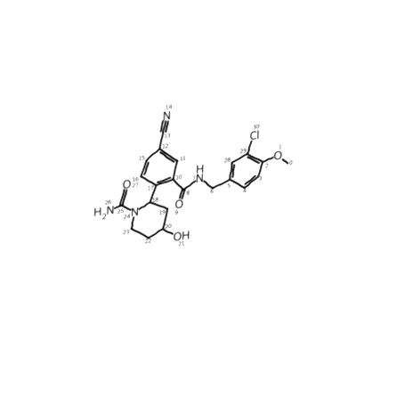 COc1ccc(CNC(=O)c2cc(C#N)ccc2C2CC(O)CCN2C(N)=O)cc1Cl